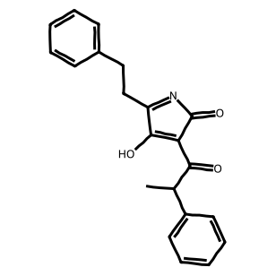 CC(C(=O)C1=C(O)C(CCc2ccccc2)=NC1=O)c1ccccc1